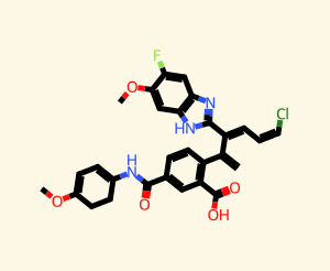 C=C(/C(=C\C=C/Cl)c1nc2cc(F)c(OC)cc2[nH]1)c1ccc(C(=O)NC2=CC=C(OC)CC2)cc1C(=O)O